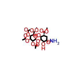 COC(=O)C1O[C@@H](O[C@@H]2[C@@H](O)[C@H](ON)C[C@H](C(=O)OC)[C@H]2O)[C@H](OC(C)=O)[C@@H](OC(C)=O)[C@@H]1OC(C)=O